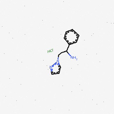 Cl.NC(Cn1cccn1)c1ccccc1